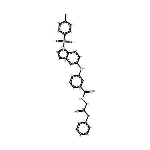 Cc1ccc(S(=O)(=O)n2ccc3cc(Oc4cccc(C(=O)OCC(=O)Cc5ccccc5)c4)ccc32)cc1